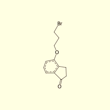 O=C1CCc2c(OCCCBr)cccc21